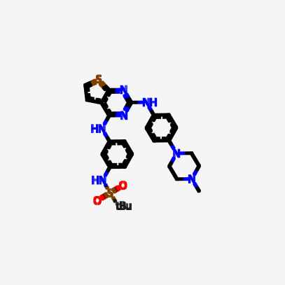 CN1CCN(c2ccc(Nc3nc(Nc4cccc(NS(=O)(=O)C(C)(C)C)c4)c4ccsc4n3)cc2)CC1